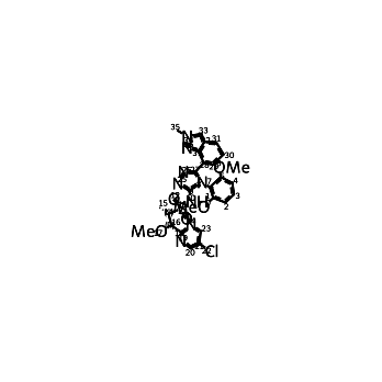 COc1cccc(OC)c1-n1c(NS(=O)(=O)[C@@H](C)[C@H](OC)c2ncc(Cl)cn2)nnc1-c1cccc2cn(C)nc12